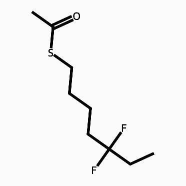 CCC(F)(F)CCCCSC(C)=O